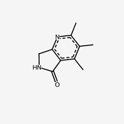 Cc1nc2c(c(C)c1C)C(=O)NC2